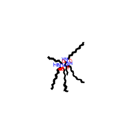 CCCCCCCCCC(=O)NC(CCCCC)(NC(=O)CCCCCCCCC)OC(CCCCC)(NC(=O)CCCCCCCCC)NC(=O)CCCCCCCCC